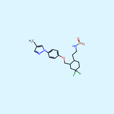 Cc1cnn(-c2ccc(OCC3CC(F)(F)CCC3CCN[SH](=O)=O)cc2)c1